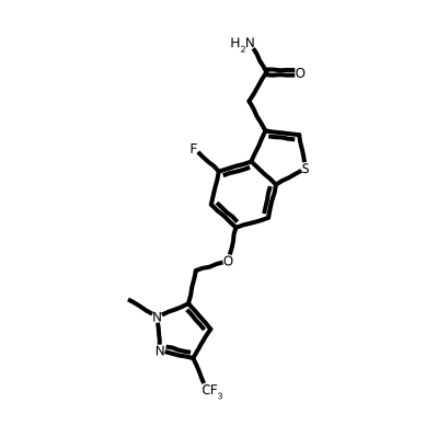 Cn1nc(C(F)(F)F)cc1COc1cc(F)c2c(CC(N)=O)csc2c1